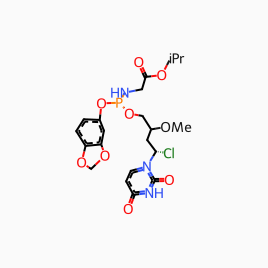 COC(COP(NCC(=O)OC(C)C)Oc1ccc2c(c1)OCO2)C[C@H](Cl)n1ccc(=O)[nH]c1=O